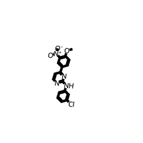 COc1ccc(-c2ccnc(Nc3cccc(Cl)c3)n2)cc1[N+](=O)[O-]